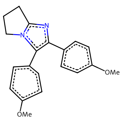 COc1ccc(-c2nc3n(c2-c2ccc(OC)cc2)CCC3)cc1